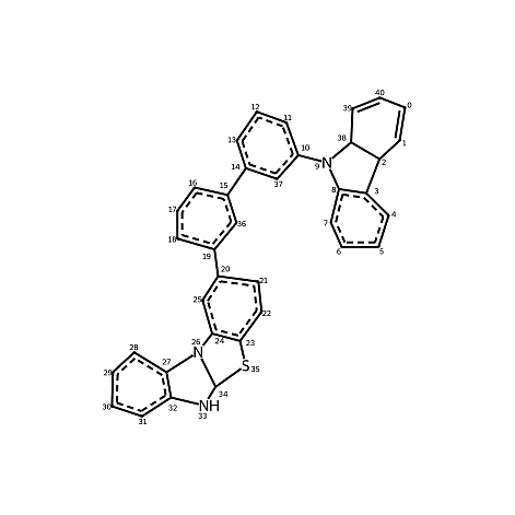 C1=CC2c3ccccc3N(c3cccc(-c4cccc(-c5ccc6c(c5)N5c7ccccc7NC5S6)c4)c3)C2C=C1